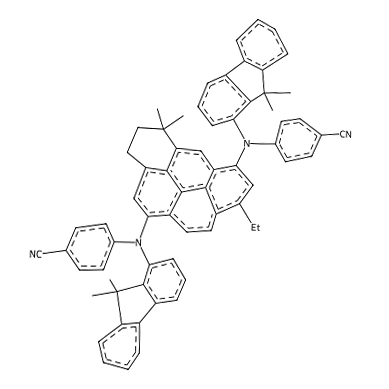 CCc1cc(N(c2ccc(C#N)cc2)c2cccc3c2C(C)(C)c2ccccc2-3)c2cc3c4c(cc(N(c5ccc(C#N)cc5)c5cccc6c5C(C)(C)c5ccccc5-6)c5ccc1c2c54)CCC3(C)C